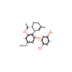 C=C(C)[C@@H]1CCC(C)=C[C@H]1c1c(O)cc(CCCCC)cc1O.Oc1ccc(O)cc1